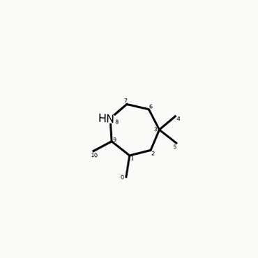 CC1CC(C)(C)CCNC1C